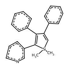 C[Si]1(C)C=C(c2ccccc2)C(c2ccccc2)=C1c1cccnc1